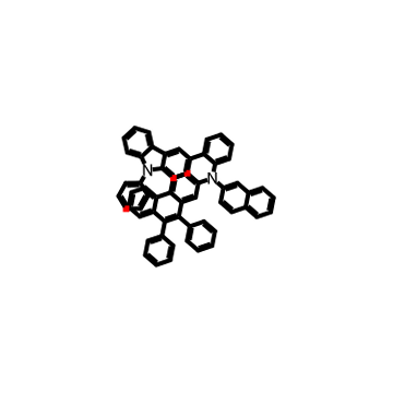 c1ccc(-c2c(-c3ccccc3)c3cc(N(c4ccc5ccccc5c4)c4ccccc4-c4ccc5c(c4)c4ccccc4n5-c4ccccc4)ccc3c3ccccc23)cc1